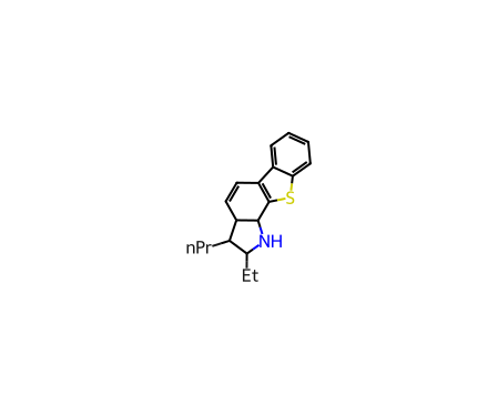 CCCC1C(CC)NC2c3sc4ccccc4c3C=CC21